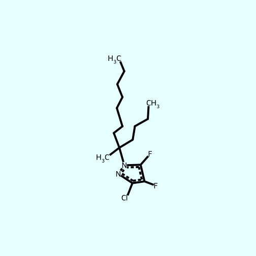 CCCCCCCC(C)(CCCC)n1nc(Cl)c(F)c1F